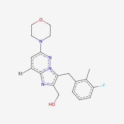 CCc1cc(N2CCOCC2)nn2c(Cc3cccc(F)c3C)c(CO)nc12